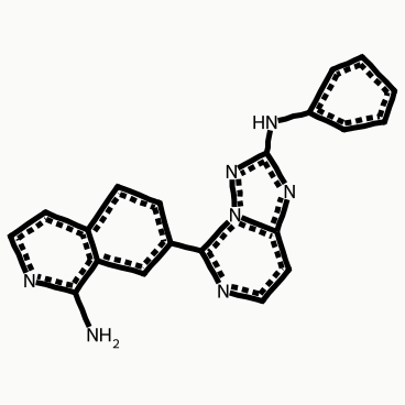 Nc1nccc2ccc(-c3nccc4nc(Nc5ccccc5)nn34)cc12